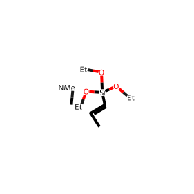 CC=C[Si](OCC)(OCC)OCC.CNC